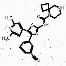 Cc1cc(-c2sc(NC(=O)N3CCNCC34CCC4)nc2-c2cccc(C#N)c2)cc(C)n1